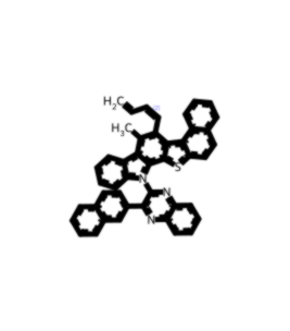 C=C/C=C\c1c(C)c2c3ccccc3n(-c3nc4ccccc4nc3-c3ccc4ccccc4c3)c2c2sc3ccc4ccccc4c3c12